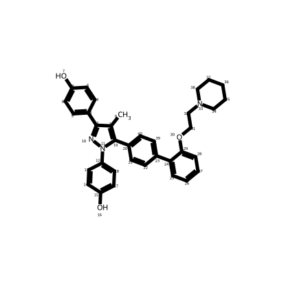 Cc1c(-c2ccc(O)cc2)nn(-c2ccc(O)cc2)c1-c1ccc(-c2ccccc2OCCN2CCCCC2)cc1